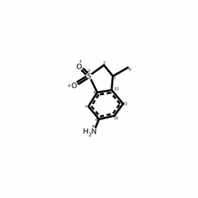 CC1CS(=O)(=O)c2cc(N)ccc21